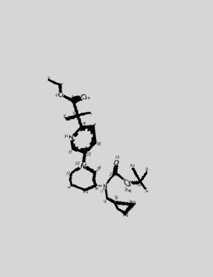 CCOC(=O)C(C)(C)c1ccc(N2CCC[C@@H](N(CC3CC3)C(=O)OC(C)(C)C)C2)cn1